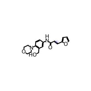 O=C(/C=C/c1ccco1)Nc1ccc(N2CCOCC2)c(CO)c1